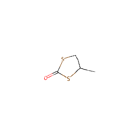 CC1CSC(=O)S1